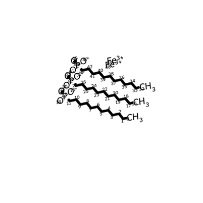 CCCCCCCCCCCCP(=O)([O-])[O-].CCCCCCCCCCCCP(=O)([O-])[O-].CCCCCCCCCCCCP(=O)([O-])[O-].[Fe+3].[Fe+3]